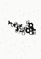 COc1ccc2c3c1O[C@H]1C(OC(=O)[C@H](C)OC(=O)[C@H](CC(=O)OCC(C)C)OC(C)=O)=CC[C@@]4(O)[C@@H](C2)N(C)CC[C@]314